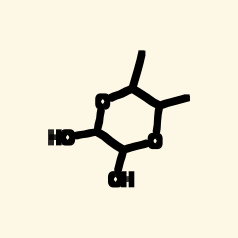 CC1OC(O)C(O)OC1C